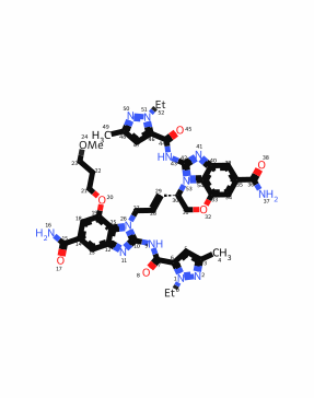 CCn1nc(C)cc1C(=O)Nc1nc2cc(C(N)=O)cc(OCCCOC)c2n1C/C=C/[C@H]1COc2cc(C(N)=O)cc3nc(NC(=O)c4cc(C)nn4CC)n1c23